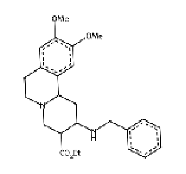 CCOC(=O)C1CN2CCc3cc(OC)c(OC)cc3C2CC1NCc1ccccc1